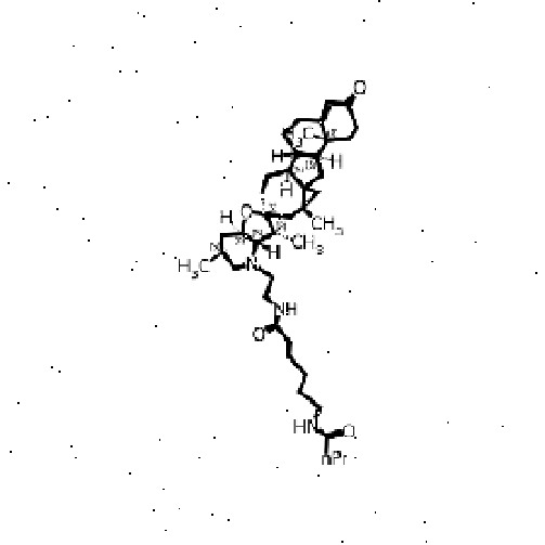 CCCC(=O)NCCCCCC(=O)NCCN1C[C@@H](C)C[C@H]2O[C@]3(CC[C@H]4[C@@H]5CCC6=CC(=O)CC[C@]6(C)[C@H]5CC45CC5(C)C3)[C@H](C)[C@@H]21